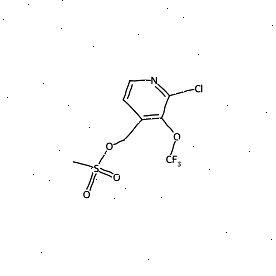 CS(=O)(=O)OCc1ccnc(Cl)c1OC(F)(F)F